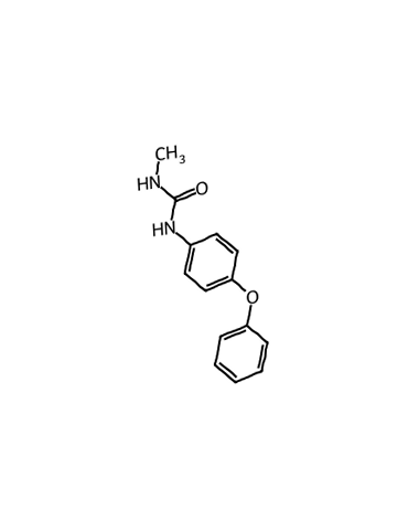 CNC(=O)Nc1ccc(Oc2ccccc2)cc1